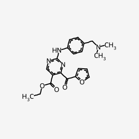 CCOC(=O)c1cnc(Nc2ccc(CN(C)C)cc2)nc1C(=O)c1ccco1